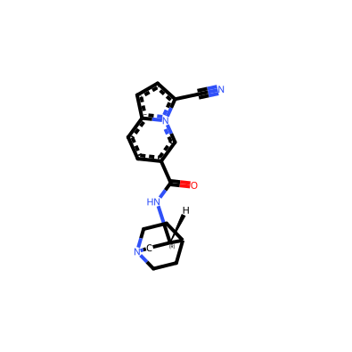 N#Cc1ccc2ccc(C(=O)N[C@H]3CN4CCC3CC4)cn12